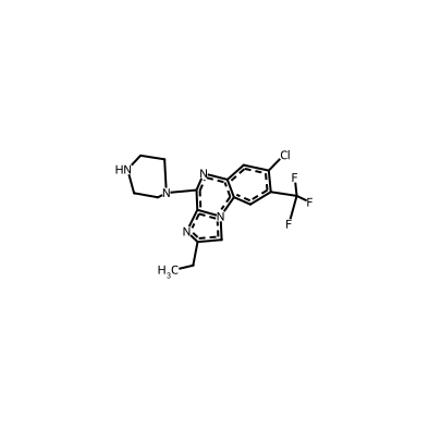 CCc1cn2c(n1)c(N1CCNCC1)nc1cc(Cl)c(C(F)(F)F)cc12